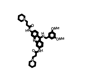 COc1cc(CNc2c3ccc(NC(=O)CCN4CCCCC4)cc3nc3cc(NC(=O)CCN4CCCCC4)ccc23)cc(OC)c1